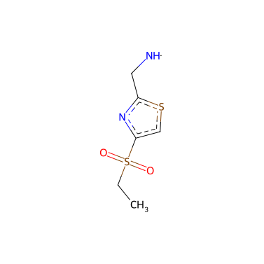 CCS(=O)(=O)c1csc(C[NH])n1